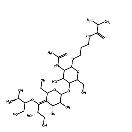 CC(=O)NC1C(OCCCNC(=O)C(C)C)OC(CO)C(OC2OC(CO)/C(=C(\OC(CO)[C@@H](C)O)[C@@H](O)CO)[C@@H](O)C2O)C1O